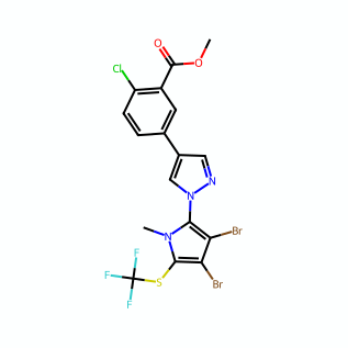 COC(=O)c1cc(-c2cnn(-c3c(Br)c(Br)c(SC(F)(F)F)n3C)c2)ccc1Cl